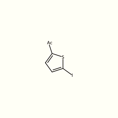 CC(=O)c1ccc(I)s1